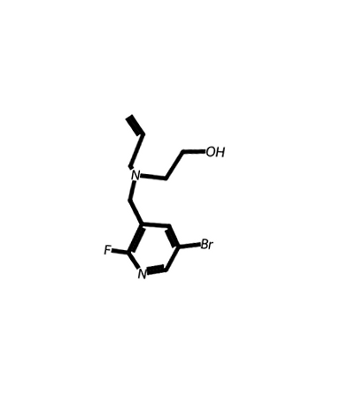 C=CCN(CCO)Cc1cc(Br)cnc1F